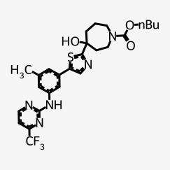 CCCCOC(=O)N1CCCC(O)(c2ncc(-c3cc(C)cc(Nc4nccc(C(F)(F)F)n4)c3)s2)CC1